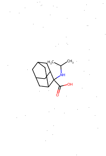 CC(C)NC1(C(=O)O)C2CC3CC(C2)CC1C3